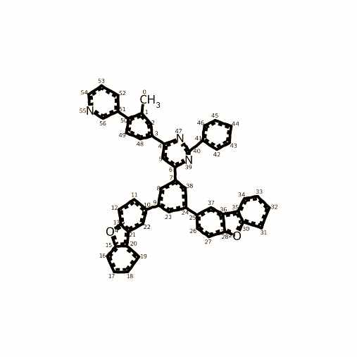 Cc1cc(-c2cc(-c3cc(-c4ccc5oc6ccccc6c5c4)cc(-c4ccc5oc6ccccc6c5c4)c3)nc(-c3ccccc3)n2)ccc1-c1cccnc1